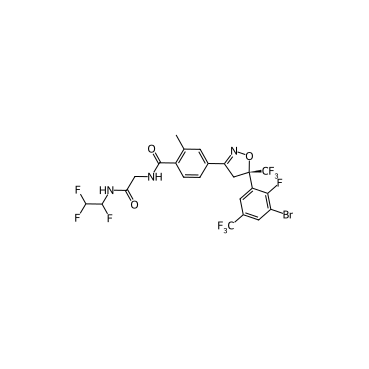 Cc1cc(C2=NO[C@@](c3cc(C(F)(F)F)cc(Br)c3F)(C(F)(F)F)C2)ccc1C(=O)NCC(=O)NC(F)C(F)F